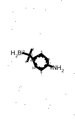 C[C](C)([BiH2])c1ccc(N)cc1